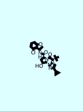 CC(C)(C)[C@H](C(=O)N1C[C@H](O)C[C@H]1C(=O)NC1COc2cccc(Cl)c21)n1cc(C2CC2)nn1